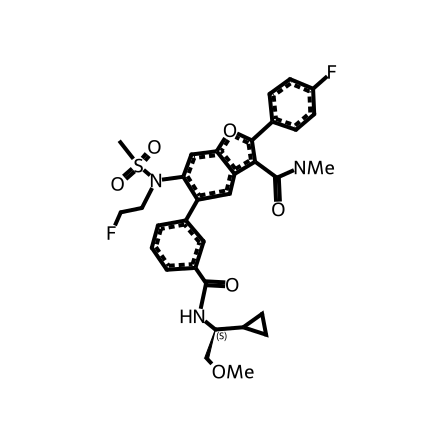 CNC(=O)c1c(-c2ccc(F)cc2)oc2cc(N(CCF)S(C)(=O)=O)c(-c3cccc(C(=O)N[C@H](COC)C4CC4)c3)cc12